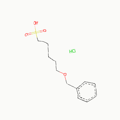 Cl.O=S(=O)(O)CCCCCOCc1ccccc1